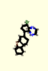 Brc1ccc(-c2ccc3c(c2)sc2ccccc23)c2nccnc12